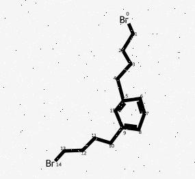 BrCCCCc1cccc(CCCCBr)c1